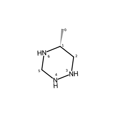 C[C@@H]1CNNCN1